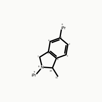 CC(C)c1ccc2c(c1)CN(C(C)C)C2C